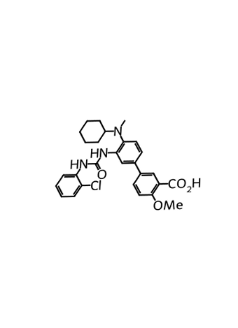 COc1ccc(-c2ccc(N(C)C3CCCCC3)c(NC(=O)Nc3ccccc3Cl)c2)cc1C(=O)O